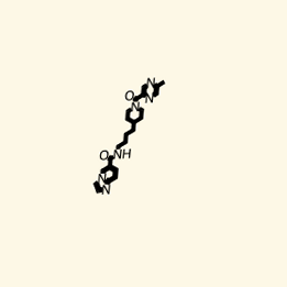 Cc1cnc(C(=O)N2CCC(CCCCNC(=O)c3ccc4nccn4c3)CC2)cn1